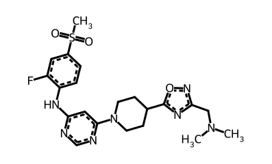 CN(C)Cc1noc(C2CCN(c3cc(Nc4ccc(S(C)(=O)=O)cc4F)ncn3)CC2)n1